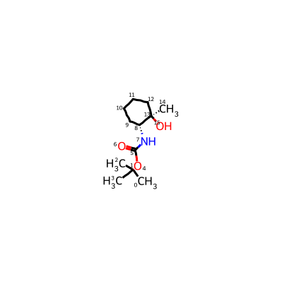 CC(C)(C)OC(=O)N[C@@H]1CCCC[C@@]1(C)O